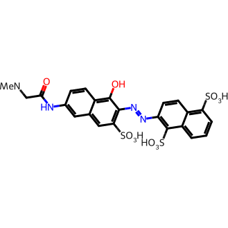 CNCC(=O)Nc1ccc2c(O)c(N=Nc3ccc4c(S(=O)(=O)O)cccc4c3S(=O)(=O)O)c(S(=O)(=O)O)cc2c1